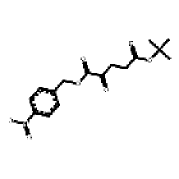 CC(C)(C)OC(=O)CCC(=O)C(=O)OCc1ccc([N+](=O)[O-])cc1